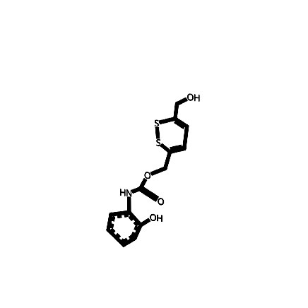 O=C(Nc1ccccc1O)OCC1=CC=C(CO)SS1